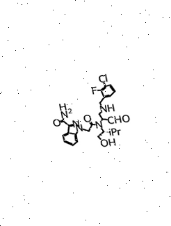 CC(C)[C@H](CO)N(C(=O)Cn1nc(C(N)=O)c2ccccc21)C(C=O)CNCc1cccc(Cl)c1F